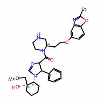 CCc1nc2cc(OCC[C@@H]3CNCCN3C(=O)C3N=CN([C@@H]4CCCC[C@@]4(O)COC)C3c3ccccc3)ccc2o1